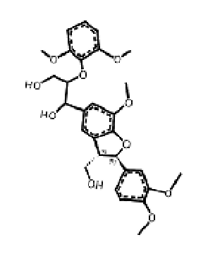 COc1ccc([C@@H]2Oc3c(OC)cc(C(O)C(CO)Oc4c(OC)cccc4OC)cc3[C@H]2CO)cc1OC